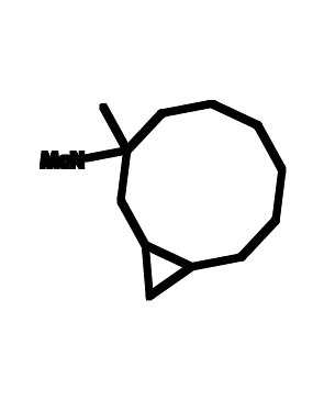 CNC1(C)CCCCCCC2CC2C1